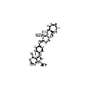 CC(C)n1cc(-c2ccc(Oc3cccc(Nc4ccccnc4=O)c3C#N)cc2)c2c(N)ncnc21